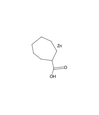 O=C(O)C1CCCCCC1.[Zn]